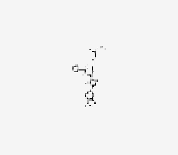 CNC(=O)CCCCC[C@H](NC(=O)c1cncs1)c1ncc(-c2ccc3c(cnn3C)c2)[nH]1